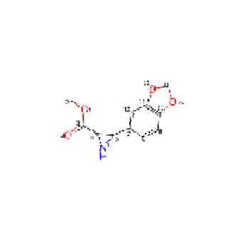 COC(=O)C1NC1c1ccc2c(c1)OCO2